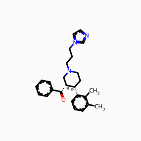 Cc1cccc([C@H]2[CH]CN(CCCn3ccnc3)C[C@H]2C(=O)c2ccccc2)c1C